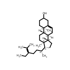 CCC(CC[C@@H](C)[C@H]1CC[C@H]2[C@@H]3CC=C4CC(O)CC[C@]4(C)[C@H]3CC[C@]12C)=C(C)C